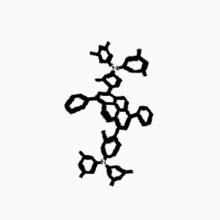 Cc1cc(C)cc(N(c2cc(C)cc(C)c2)c2ccc(-c3cc(-c4ccccc4)c4ccc5c(-c6ccc(N(c7cc(C)cc(C)c7)c7cc(C)cc(C)c7)cc6C)cc(-c6ccccc6)c6ccc3c4c65)c(C)c2)c1